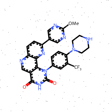 COc1ncc(-c2ccc3ncc4c(=O)[nH]c(=O)n(-c5ccc(N6CCNCC6)c(C(F)(F)F)c5)c4c3n2)cn1